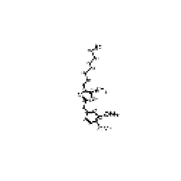 COc1ccc(Cc2nc(CCCCCCCC(C)=O)c(C)[nH]2)cc1OC